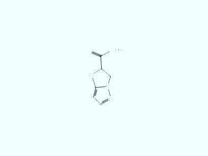 COC(=O)C1Cn2nccc2N1